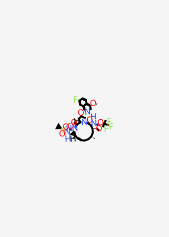 CC[C@@H]1C[C@H](C)CC/C=C\[C@@H]2C[C@@]2(C(=O)NS(=O)(=O)C2CC2)NC(=O)[C@@H]2C[C@@H](Oc3ncc(OC)c4ccc(F)cc34)CN2C(=O)[C@H]1NC(=O)OC(C)(C)C(F)(F)F